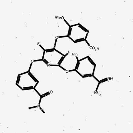 COc1ccc(C(=O)O)cc1Oc1c(F)c(Oc2cccc(C(=O)N(C)C)c2)nc(Oc2cc(C(=N)N)ccc2O)c1F